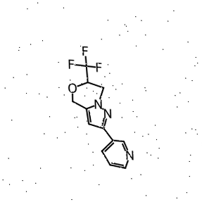 FC(F)(F)C1Cn2nc(-c3cccnc3)cc2CO1